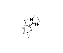 Ic1ccc2c(c1)C1=NCCCN1C=N2